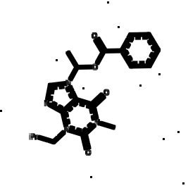 CC(C)Cn1c(=O)n(C)c(=O)c2c1ncn2C(C)OC(=O)c1ccccc1